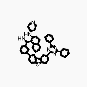 N=C(c1cccc(-c2ccc3oc4ccc(-c5nc(-c6ccccc6)nc(-c6ccccc6)n5)cc4c3c2)c1)c1c(Nc2ccncc2)ccc2ccccc12